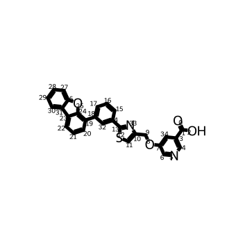 O=C(O)c1cncc(OCc2csc(-c3cccc(-c4cccc5c4oc4ccccc45)c3)n2)c1